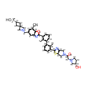 Cc1c(-c2nc3cc(CN4CC5(CC(C(=O)O)C5)C4)cc(C#N)c3o2)cccc1-c1cccc(-c2nc3c(s2)CN(C(=O)CN2CC[C@H](O)C2)C3)c1C